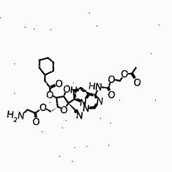 CC(=O)OCOC(=O)Nc1ncnn2c([C@]3(C#N)O[C@H](COC(=O)CN)[C@@H](OC(=O)CC4CCCCC4)[C@H]3O)ccc12